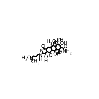 CN(C)CCCNc1nc(Cl)c2c(c1O)C(=O)C1=C(O)[C@]3(O)C(=O)C(C(N)=O)=C(O)[C@@H](N(C)C)[C@@H]3C[C@@H]1C2